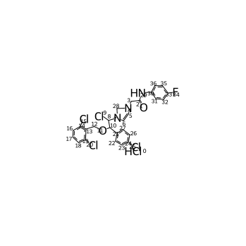 Cl.O=C(CN1C=CN(C(Cl)C(OCc2c(Cl)cccc2Cl)c2ccc(Cl)cc2)C1)Nc1ccc(F)cc1